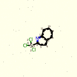 Cl[Si](Cl)(Cl)c1ccc2ccccc2n1